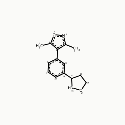 Cc1noc(C)c1-c1cccc(C2CCON2)c1